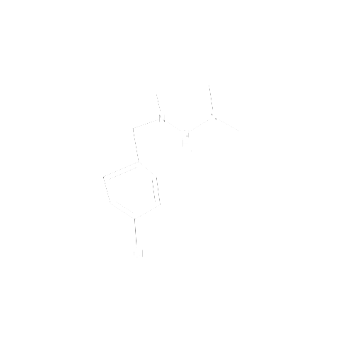 CN(C)[SiH2]N(C)Cc1ccc(O)cc1